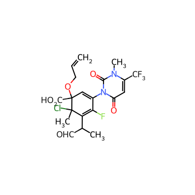 C=CCOC1(C(=O)O)C=C(n2c(=O)cc(C(F)(F)F)n(C)c2=O)C(F)=C(C(C)C=O)C1(C)Cl